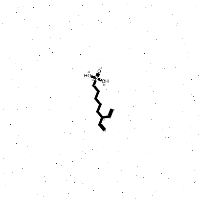 C=CC(C=C)CCCCCP(=O)(O)O